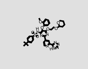 COc1ccccc1Oc1c(NS(=O)(=O)c2ccc(C(C)(C)C)cc2)nc(-c2ccnc(-c3nnn[nH]3)c2)nc1OCCOC1CCCCO1